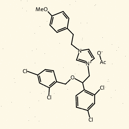 CC(=O)[O-].COc1ccc(CCn2cc[n+](CC(OCc3ccc(Cl)cc3Cl)c3ccc(Cl)cc3Cl)c2)cc1